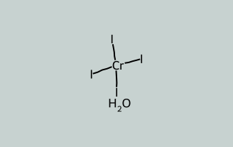 O.[I][Cr]([I])([I])[I]